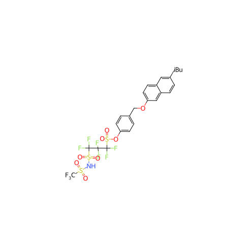 CCC(C)c1ccc2cc(OCc3ccc(OS(=O)(=O)C(F)(F)C(F)(F)C(F)(F)S(=O)(=O)NS(=O)(=O)C(F)(F)F)cc3)ccc2c1